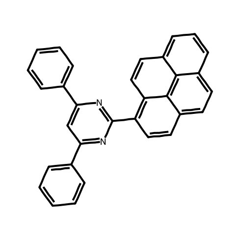 c1ccc(-c2cc(-c3ccccc3)nc(-c3ccc4ccc5cccc6ccc3c4c56)n2)cc1